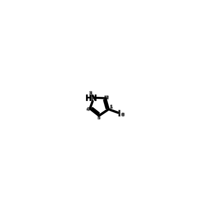 Ic1[c][nH]cc1